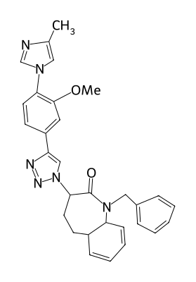 COc1cc(-c2cn(C3CCC4C=CC=CC4N(Cc4ccccc4)C3=O)nn2)ccc1-n1cnc(C)c1